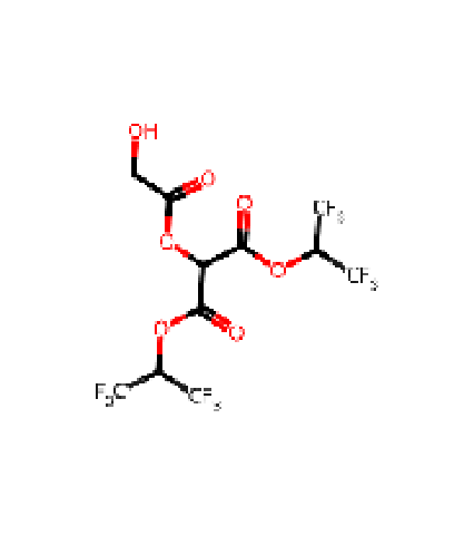 O=C(CO)OC(C(=O)OC(C(F)(F)F)C(F)(F)F)C(=O)OC(C(F)(F)F)C(F)(F)F